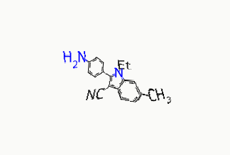 CCn1c(-c2ccc(N)cc2)c(C#N)c2ccc(C)cc21